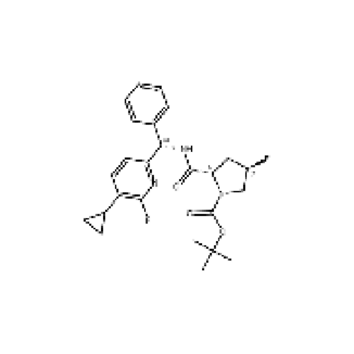 CC(C)(C)OC(=O)N1C[C@H](F)C[C@H]1C(=O)N[C@@H](c1ccccc1)c1ccc(C2CC2)c(F)n1